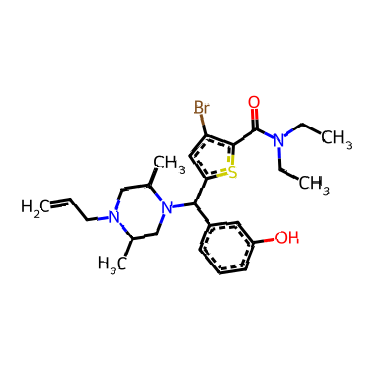 C=CCN1CC(C)N(C(c2cccc(O)c2)c2cc(Br)c(C(=O)N(CC)CC)s2)CC1C